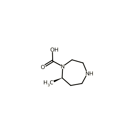 C[C@@H]1CCNCCN1C(=O)O